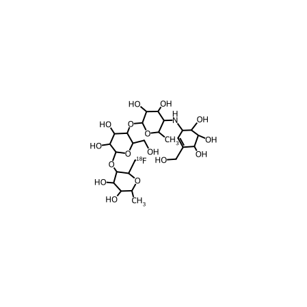 CC1OC(C[18F])C(OC2OC(CO)C(OC3OC(C)C(NC4C=C(CO)C(O)C(O)C4O)C(O)C3O)C(O)C2O)C(O)C1O